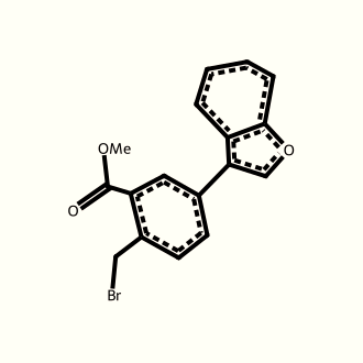 COC(=O)c1cc(-c2coc3ccccc23)ccc1CBr